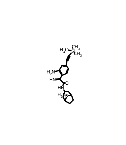 CN1C2CCC1CC(NC(=O)C(=N)c1ccc(C#C[Si](C)(C)C)cc1N)C2